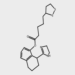 O=C(CCCCC1CCSS1)Oc1cccc2c1C(C1=NCCN1)CCC2